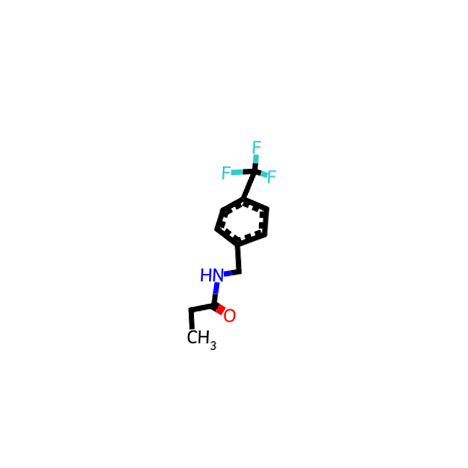 CCC(=O)NCc1ccc(C(F)(F)F)cc1